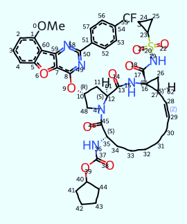 COc1cccc2oc3c(O[C@@H]4C[C@H]5C(=O)N[C@]6(C(=O)NS(=O)(=O)C7CC7)C[C@H]6/C=C\CCCCC[C@H](NC(=O)OC6CCCC6)C(=O)N5C4)nc(-c4ccc(C(F)(F)F)cc4)nc3c12